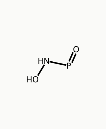 O=PNO